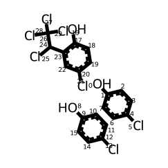 Oc1ccc(Cl)cc1.Oc1ccc(Cl)cc1.Oc1ccc(Cl)cc1C(Cl)C(Cl)(Cl)Cl